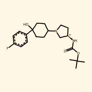 CC(C)(C)OC(=O)N[C@@H]1CCN(C2CCC(O)(c3ccc(F)cc3)CC2)C1